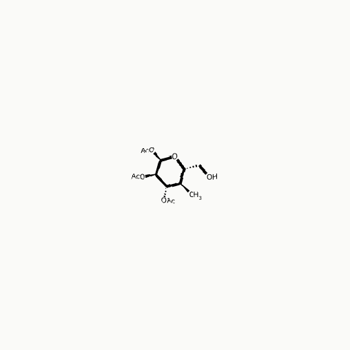 CC(=O)O[C@H]1O[C@H](CO)[C@@H](C)[C@H](OC(C)=O)[C@H]1OC(C)=O